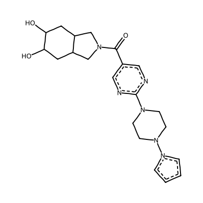 O=C(c1cnc(N2CCN(n3cccc3)CC2)nc1)N1CC2CC(O)C(O)CC2C1